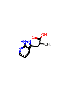 CC(Cc1n[nH]c2ncccc12)C(=O)O